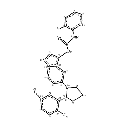 Cc1cccnc1NC(=O)Oc1cnn2ccc(N3CCC[C@@H]3c3cc(F)ccc3F)nc12